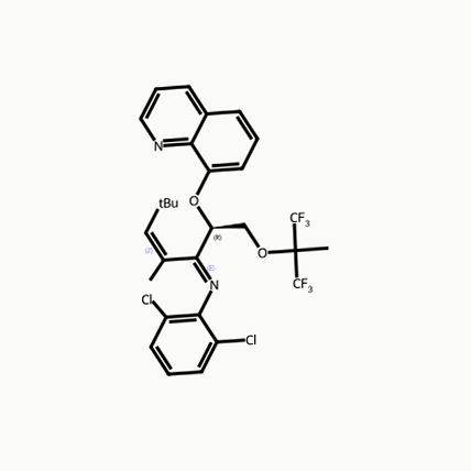 CC(=C/C(C)(C)C)/C(=N\c1c(Cl)cccc1Cl)[C@H](COC(C)(C(F)(F)F)C(F)(F)F)Oc1cccc2cccnc12